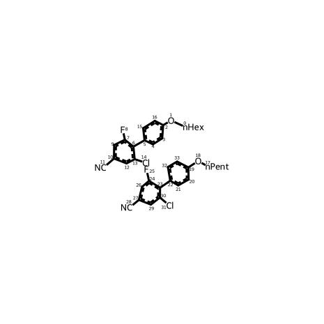 CCCCCCOc1ccc(-c2c(F)cc(C#N)cc2Cl)cc1.CCCCCOc1ccc(-c2c(F)cc(C#N)cc2Cl)cc1